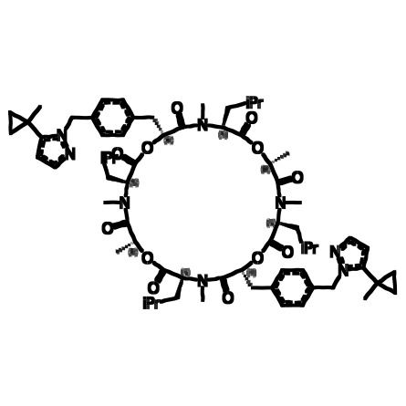 CC(C)C[C@H]1C(=O)O[C@H](Cc2ccc(Cn3nccc3C3(C)CC3)cc2)C(=O)N(C)[C@@H](CC(C)C)C(=O)O[C@H](C)C(=O)N(C)[C@@H](CC(C)C)C(=O)O[C@H](Cc2ccc(Cn3nccc3C3(C)CC3)cc2)C(=O)N(C)[C@@H](CC(C)C)C(=O)O[C@H](C)C(=O)N1C